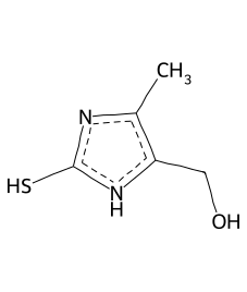 Cc1nc(S)[nH]c1CO